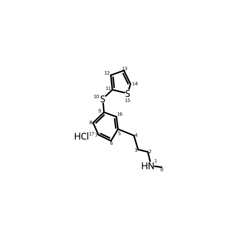 CNCCCc1cccc(Sc2cccs2)c1.Cl